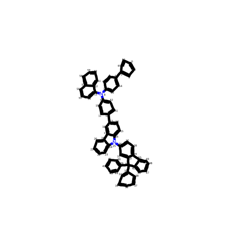 c1ccc(-c2ccc(N(c3ccc(-c4ccc5c(c4)c4ccccc4n5-c4ccc5c(c4)C(c4ccccc4)(c4ccccc4)c4ccccc4-5)cc3)c3cccc4ccccc34)cc2)cc1